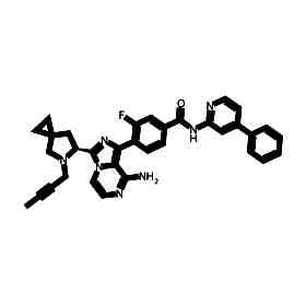 CC#CCN1CC2(CC2)C[C@H]1c1nc(-c2ccc(C(=O)Nc3cc(-c4ccccc4)ccn3)cc2F)c2c(N)nccn12